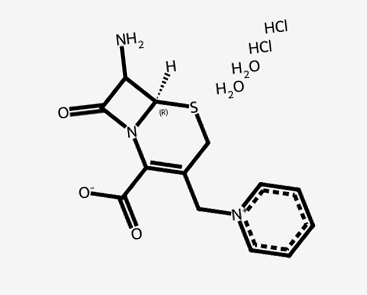 Cl.Cl.NC1C(=O)N2C(C(=O)[O-])=C(C[n+]3ccccc3)CS[C@H]12.O.O